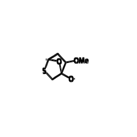 COC1C[C]2OC1([O])CS2